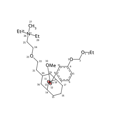 CCOCOc1cccc(C2(OC)OOC23C2CCCC3CC(CCOCC[N+](C)(CC)CC)C2)c1